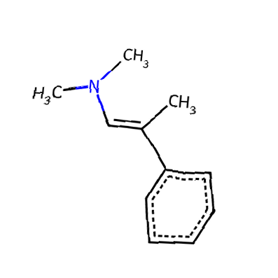 CC(=CN(C)C)c1ccccc1